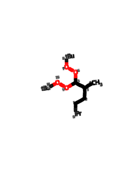 CC(C)CCC(C)C(OOC(C)(C)C)OOC(C)(C)C